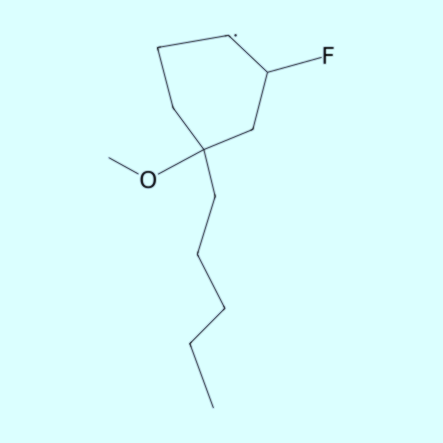 CCCCCC1(OC)CC[CH]C(F)C1